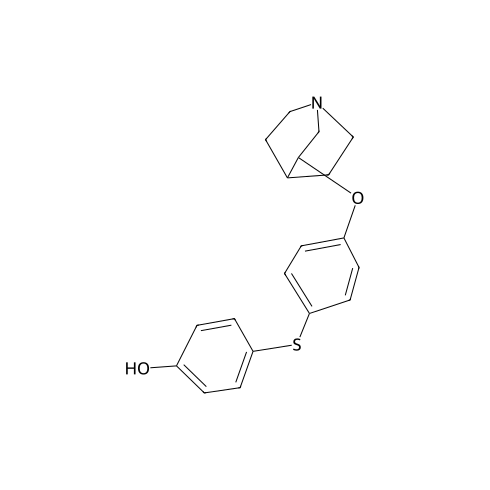 Oc1ccc(Sc2ccc(OC3CN4CCC3CC4)cc2)cc1